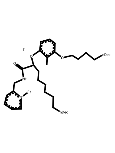 CCCCCCCCCCCCCCCCC(Oc1cccc(OCCCCCCCCCCCCCC)c1C)C(=O)NCc1cccc[n+]1CC.[I-]